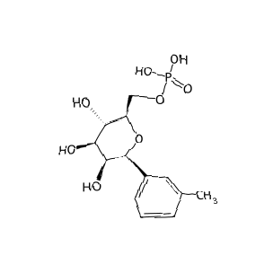 Cc1cccc([C@@H]2O[C@H](COP(=O)(O)O)[C@@H](O)[C@H](O)[C@@H]2O)c1